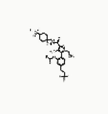 CCn1nc(C(=O)NCC2(O)CCC(S(C)(=O)=O)CC2)c(C)c1-c1ccc(CCC(F)(F)F)cc1OC(F)F